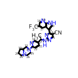 C[C@@H](Nc1ncc(C#N)c(-c2c[nH]c3ncc(C(F)(F)F)cc23)n1)c1ccc(N2CCN3CCCC3C2)nc1